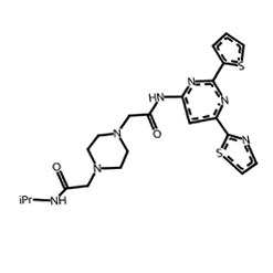 CC(C)NC(=O)CN1CCN(CC(=O)Nc2cc(-c3nccs3)nc(-c3cccs3)n2)CC1